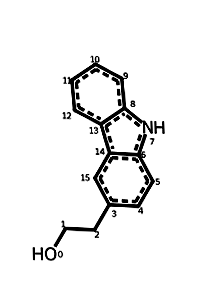 OCCc1ccc2[nH]c3ccccc3c2c1